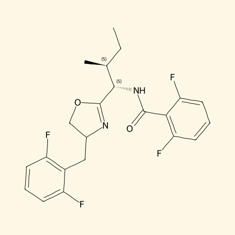 CC[C@H](C)[C@H](NC(=O)c1c(F)cccc1F)C1=NC(Cc2c(F)cccc2F)CO1